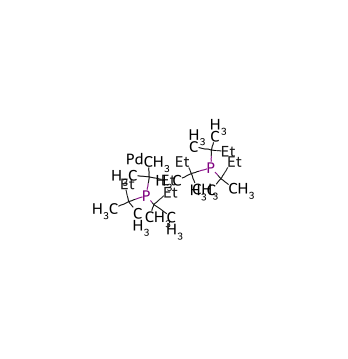 CCC(C)(C)P(C(C)(C)CC)C(C)(C)CC.CCC(C)(C)P(C(C)(C)CC)C(C)(C)CC.[Pd]